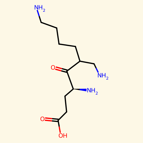 NCCCCC(CN)C(=O)[C@@H](N)CCC(=O)O